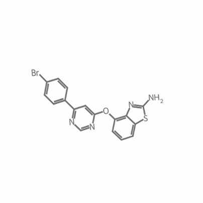 Nc1nc2c(Oc3cc(-c4ccc(Br)cc4)ncn3)cccc2s1